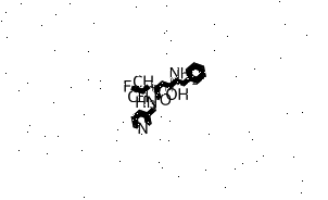 CC(C)(F)CC[C@H](C[C@H](O)[C@@H](N)Cc1ccccc1)C(=O)NCc1cccnc1